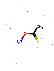 CC(=S)ON